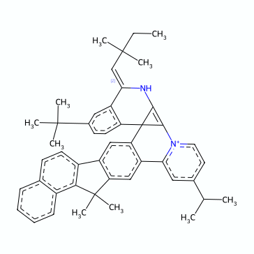 CCC(C)(C)/C=C1\NC2=C3[n+]4ccc(C(C)C)cc4-c4cc5c(cc4C23c2ccc(C(C)(C)C)cc21)-c1ccc2ccccc2c1C5(C)C